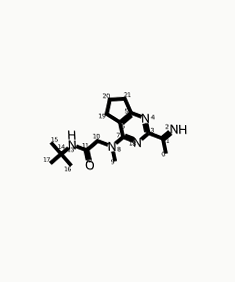 CC(=N)c1nc2c(c(N(C)CC(=O)NC(C)(C)C)n1)CCC2